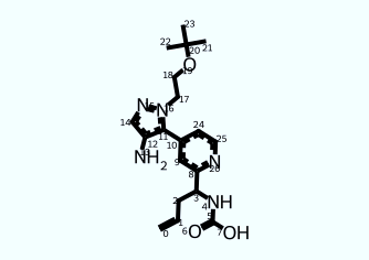 C=CCC(NC(=O)O)c1cc(-c2c(N)cnn2CCOC(C)(C)C)ccn1